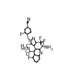 Cc1c(-c2c(C(N)=O)nc3cccc(F)c3c2C(N)=O)c(C(F)(F)F)nn1Cc1ccc(C#N)cc1F